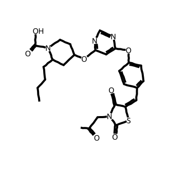 CCCCC1CC(Oc2cc(Oc3ccc(C=C4SC(=O)N(CC(C)=O)C4=O)cc3)ncn2)CCN1C(=O)O